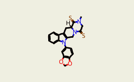 CN1CC(=S)N2Cc3c(c4ccccc4n3-c3ccc4c(c3)OCO4)C[C@@H]2C1=S